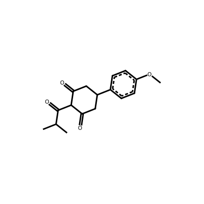 COc1ccc(C2CC(=O)C(C(=O)C(C)C)C(=O)C2)cc1